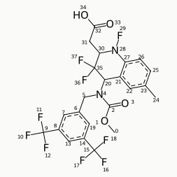 COC(=O)N(Cc1cc(C(F)(F)F)cc(C(F)(F)F)c1)C1c2cc(C)ccc2N(F)C(CC(=O)O)C1(F)F